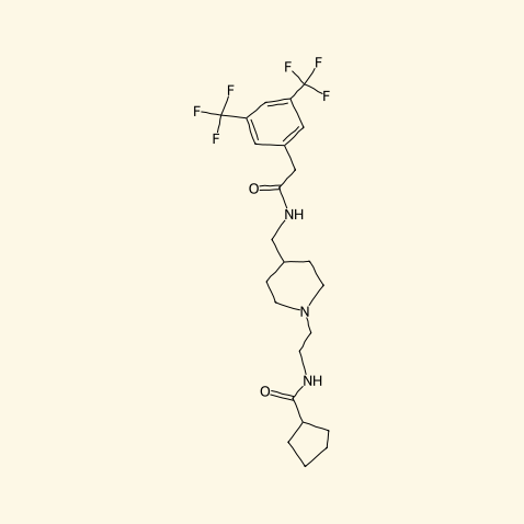 O=C(Cc1cc(C(F)(F)F)cc(C(F)(F)F)c1)NCC1CCN(CCNC(=O)C2CCCC2)CC1